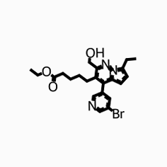 CCOC(=O)CCCCc1c(CO)nn2c(CC)ccc2c1-c1cncc(Br)c1